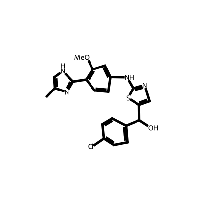 COc1cc(Nc2ncc(C(O)c3ccc(Cl)cc3)s2)ccc1-c1nc(C)c[nH]1